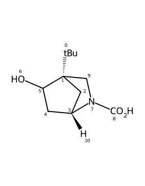 CC(C)(C)[C@]12C[C@@H](CC1O)N(C(=O)O)C2